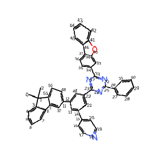 CC1(C)c2ccccc2-c2cc(-c3cc(-c4ccncc4)cc(-c4nc(-c5ccccc5)nc(-c5ccc6c(c5)oc5ccccc56)n4)c3)ccc21